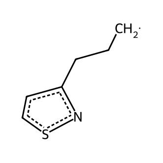 [CH2]CCc1ccsn1